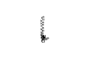 CCCCCCCCCCCCCCn1cc(Cl)c(CC)n1